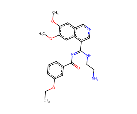 CCOc1cccc(C(=O)N=C(NCCN)c2cncc3cc(OC)c(OC)cc23)c1